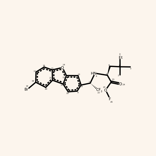 CCC(C)(C)C[C@H](N[C@@H](c1ccc2c(c1)oc1ccc(Br)cc12)C(F)(F)F)C(=O)OF